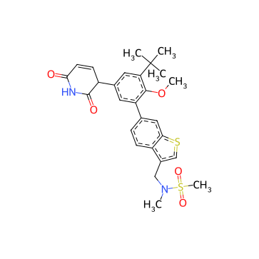 COc1c(-c2ccc3c(CN(C)S(C)(=O)=O)csc3c2)cc(C2C=CC(=O)NC2=O)cc1C(C)(C)C